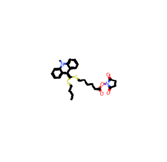 CCCCSC(SCCCCCC(=O)ON1C(=O)CCC1=O)=C1c2ccccc2N(C)c2ccccc21